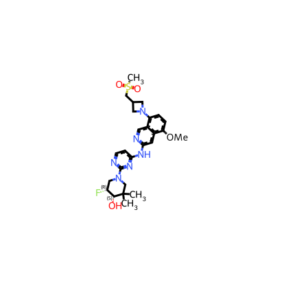 COc1ccc(N2CC(CS(C)(=O)=O)C2)c2cnc(Nc3ccnc(N4C[C@@H](F)[C@@H](O)C(C)(C)C4)n3)cc12